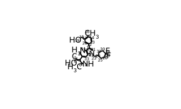 CC(=N)/C(=C(/C)O)c1cnc2c(-c3ccc(C)c(CO)c3)cn(CC3CCC(F)(F)CC3)c2c1